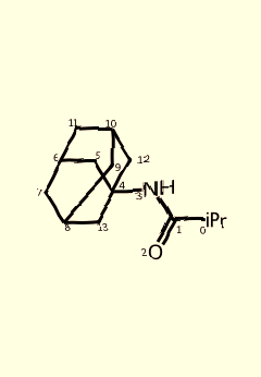 CC(C)C(=O)NC12CC3CC(CC(C3)C1)C2